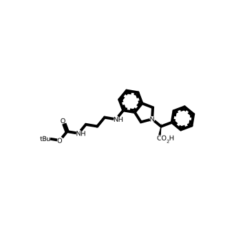 CC(C)(C)OC(=O)NCCCNc1cccc2c1CN([C@H](C(=O)O)c1ccccc1)C2